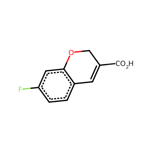 O=C(O)C1=Cc2ccc(F)cc2OC1